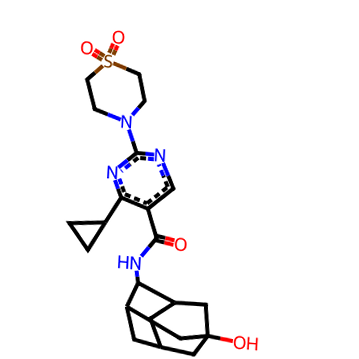 O=C(NC1C2CC3CC1CC(O)(C3)C2)c1cnc(N2CCS(=O)(=O)CC2)nc1C1CC1